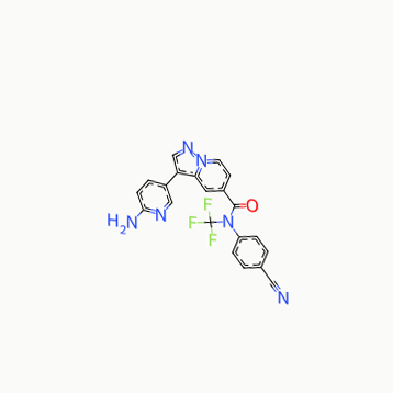 N#Cc1ccc(N(C(=O)c2ccn3ncc(-c4ccc(N)nc4)c3c2)C(F)(F)F)cc1